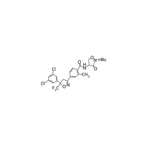 CCCCN1OCC(NC(=O)c2ccc(C3=NOC(c4cc(Cl)cc(Cl)c4)(C(F)(F)F)C3)cc2C)C1=O